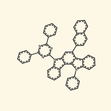 c1ccc(-c2nc(-c3ccccc3)nc(-n3c4ccccc4c4c3cc(-c3ccc5ccccc5c3)c3c5ccccc5n(-c5ccccc5)c34)n2)cc1